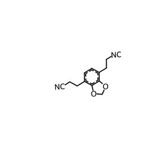 [C-]#[N+]CCc1ccc(CCC#N)c2c1OCO2